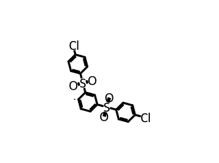 O=S(=O)(c1[c]ccc(S(=O)(=O)c2ccc(Cl)cc2)c1)c1ccc(Cl)cc1